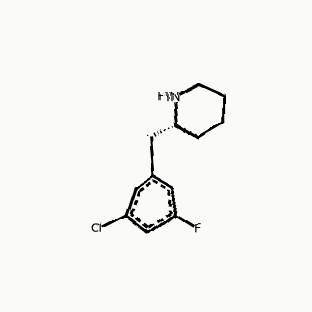 Fc1cc(Cl)cc([CH][C@H]2CCCCN2)c1